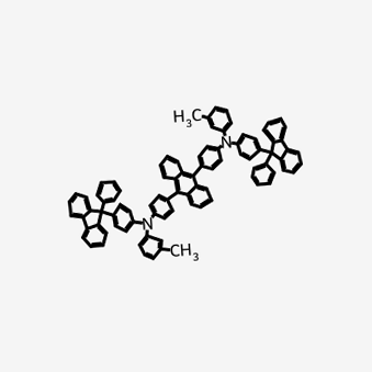 Cc1cccc(N(c2ccc(-c3c4ccccc4c(-c4ccc(N(c5ccc(C6(c7ccccc7)c7ccccc7-c7ccccc76)cc5)c5cccc(C)c5)cc4)c4ccccc34)cc2)c2ccc(C3(c4ccccc4)c4ccccc4-c4ccccc43)cc2)c1